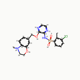 Cc1c(Cl)cccc1S(=O)(=O)Nc1nccnc1OCc1ccc2c(c1)OCCN2C